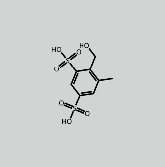 Cc1cc(S(=O)(=O)O)cc(S(=O)(=O)O)c1CO